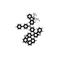 CC1(C)c2ccccc2-c2cc(N(c3ccc(-c4ccccc4)cc3)c3ccc(-c4c(-c5ccc6oc7ccccc7c6c5-c5cccc6ccccc56)ccc5oc6ccccc6c45)cc3)ccc21